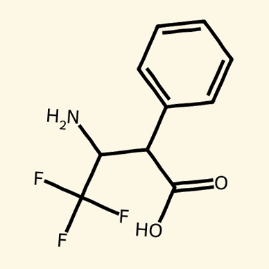 NC(C(C(=O)O)c1ccccc1)C(F)(F)F